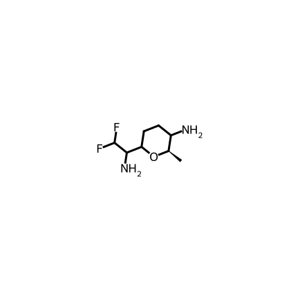 C[C@H]1OC(C(N)C(F)F)CCC1N